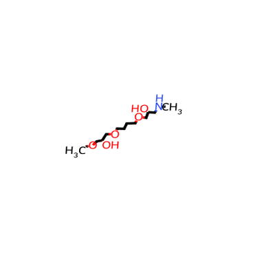 CCOCC(O)COCCCCOCC(O)CNC